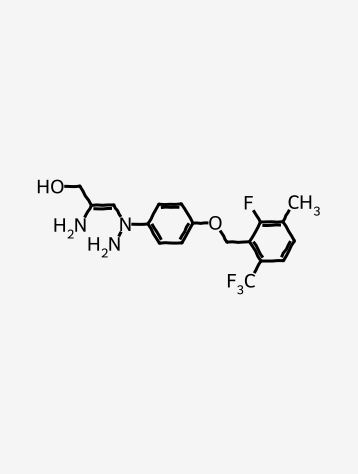 Cc1ccc(C(F)(F)F)c(COc2ccc(N(N)/C=C(\N)CO)cc2)c1F